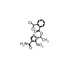 CC(OC(=O)c1ccccc1C(Cl)Cl)n1ncc(C(N)=O)c1[N+](=O)[O-]